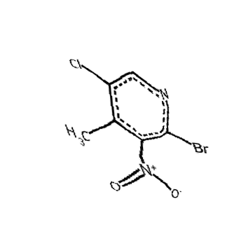 Cc1c(Cl)cnc(Br)c1[N+](=O)[O-]